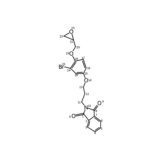 O=C1c2ccccc2C(=O)N1CCCOc1ccc(OCC2CO2)c(Br)c1